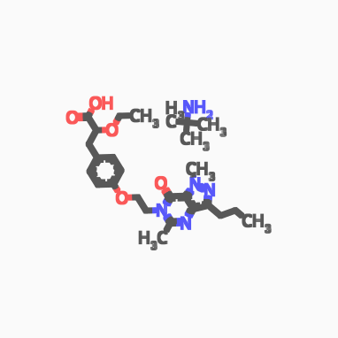 CC(C)(C)N.CCCc1nn(C)c2c(=O)n(CCOc3ccc(CC(OCC)C(=O)O)cc3)c(C)nc12